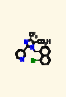 O=C(O)c1c(C(F)(F)F)nc(-c2cccnc2)n1Cc1cccc2cccc(Br)c12